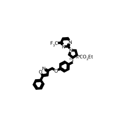 CCOC(=O)[C@H]1CN(c2nccc(C(F)(F)F)n2)C[C@H]1Cc1ccc(OCc2cc(-c3ccccc3)on2)cc1